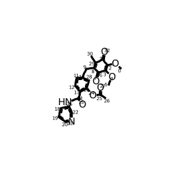 COC1=C(OC)C(=O)C(Cc2ccc(C(=O)Nc3cccnc3)c(OC(C)=O)c2)=C(C)C1=O